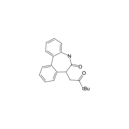 CC(C)(C)C(=O)CC1C(=O)[N]c2ccccc2-c2ccccc21